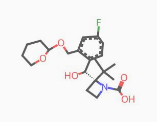 CC(C)(C)[C@]1(C(O)c2ccc(F)cc2COC2CCCCO2)CCN1C(=O)O